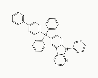 c1ccc(-c2ccc([Si](c3ccccc3)(c3ccccc3)c3ccc4c(c3)c3cccnc3n4-c3ccccc3)cc2)cc1